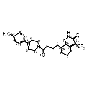 O=C(CCC[C@@H]1CCCc2c1n[nH]c(=O)c2C(F)(F)F)N1CCN(c2ncc(C(F)(F)F)cn2)CC1